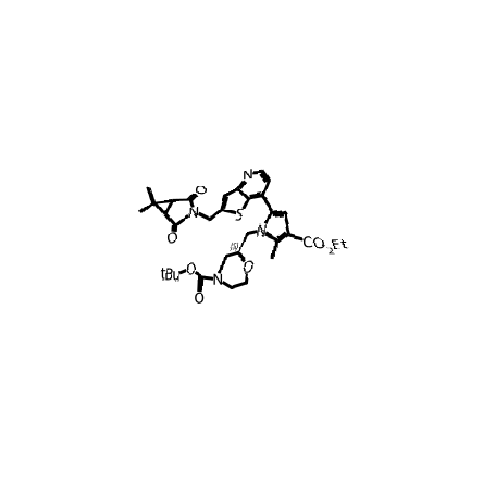 CCOC(=O)c1cc(-c2ccnc3cc(CN4C(=O)C5C(C4=O)C5(C)C)sc23)n(C[C@@H]2CN(C(=O)OC(C)(C)C)CCO2)c1C